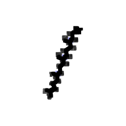 CC(C)=CCC/C(C)=C/CC/C(C)=C/CC/C(C)=C/CBr